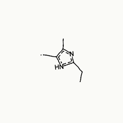 [CH2]c1[nH]c(CC)nc1C